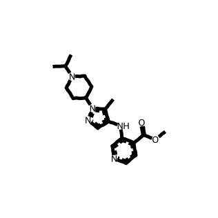 COC(=O)c1ccncc1Nc1cnn(C2CCN(C(C)C)CC2)c1C